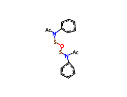 CC(=O)N(SOSN(C(C)=O)c1ccccc1)c1ccccc1